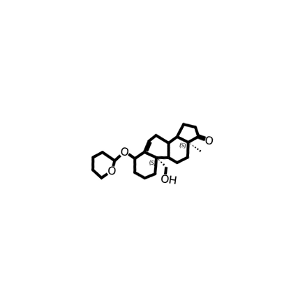 C[C@]12CCC3C(CC=C4C(OC5CCCCO5)CCC[C@@]43CO)C1CCC2=O